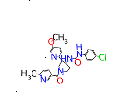 COc1ccc([C@@H]2CN(C(=O)c3ccc(C)nc3)CC[C@H]2NC(=O)Nc2ccc(Cl)cc2)nc1